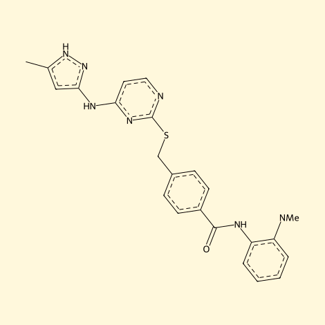 CNc1ccccc1NC(=O)c1ccc(CSc2nccc(Nc3cc(C)[nH]n3)n2)cc1